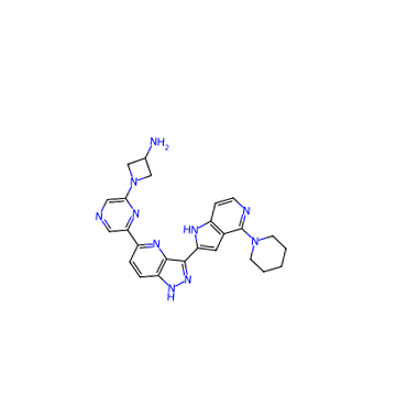 NC1CN(c2cncc(-c3ccc4[nH]nc(-c5cc6c(N7CCCCC7)nccc6[nH]5)c4n3)n2)C1